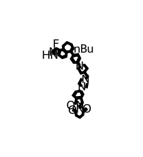 CCCCC1=C(c2ccc(N3CCC(CN4CCN(c5ccc6c(c5)CN(N5C(=O)CCCC5=O)C6=O)CC4)CC3)cc2)c2ccc3[nH]nc(F)c3c2CCC1